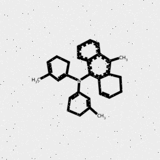 CC1=CCCC(N(C2=CCCC(C)=C2)c2c3c(c(C)c4ccccc24)CCC=C3)=C1